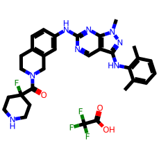 Cc1cccc(C)c1Nc1nn(C)c2nc(Nc3ccc4c(c3)CN(C(=O)C3(F)CCNCC3)CC4)ncc12.O=C(O)C(F)(F)F